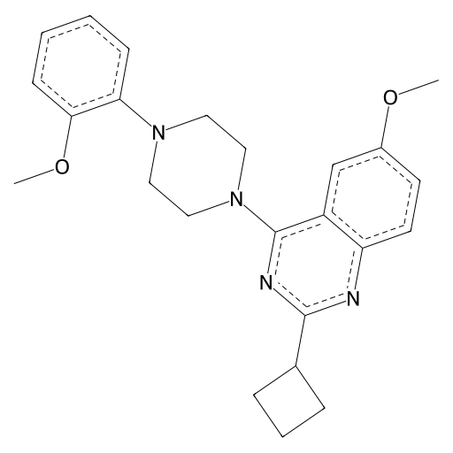 COc1ccc2nc(C3CCC3)nc(N3CCN(c4ccccc4OC)CC3)c2c1